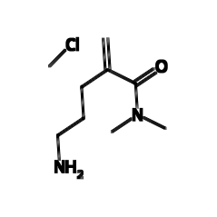 C=C(CCCN)C(=O)N(C)C.CCl